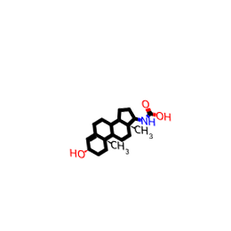 C[C@]12CCC3C(CCC4=C[C@@H](O)CC[C@@]43C)C1CCC2NC(=O)O